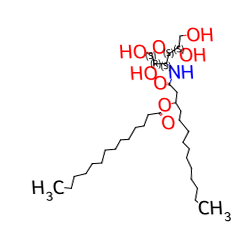 CCCCCCCCCCCCCC(=O)OC(CCCCCCCCCCC)CC(=O)N[C@H]1[C@@H](O)[C@@H](O)O[C@@H]1[C@@H](O)CO